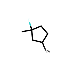 CC(C)C1CCC(C)(F)C1